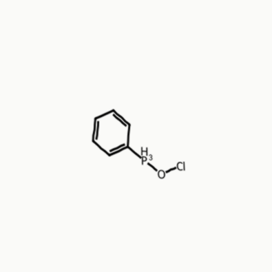 ClO[PH3]c1ccccc1